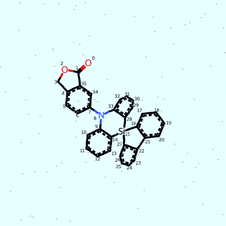 O=C1OCc2ccc(N3c4ccccc4[Si]4(c5ccccc5-c5ccccc54)c4ccccc43)cc21